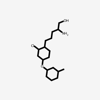 CC1CCCC(OC2CCC(CCCC(N)CO)C(Cl)C2)C1